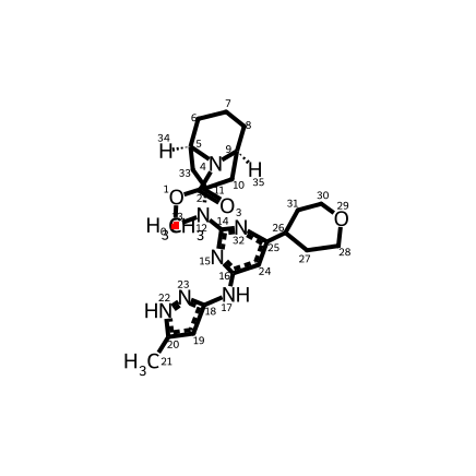 COC(=O)N1[C@@H]2CCC[C@H]1C[C@H](N(C)c1nc(Nc3cc(C)[nH]n3)cc(C3CCOCC3)n1)C2